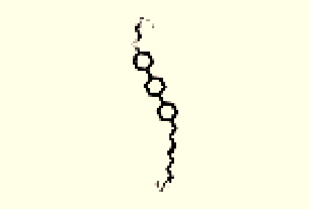 C=CCC/C=C/CCC1CCC(C2CCC(C3CCC(OCC=C)CC3)CC2)CC1